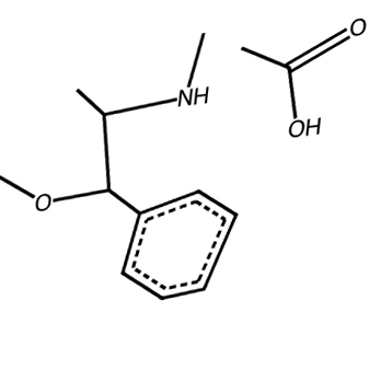 CC(=O)O.CNC(C)C(OC)c1ccccc1